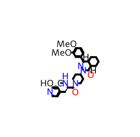 COc1ccc(C2=NN(C3CCN(C(=O)[C@@H](Cc4ccncc4)NC(=O)O)CC3)C(=O)[C@@H]3CCCC[C@H]23)cc1OC